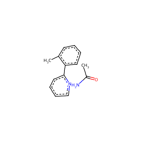 CC(N)=O.Cc1ccccc1-c1ccccn1